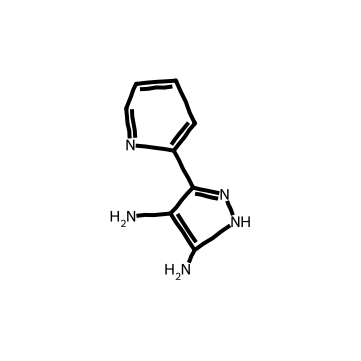 Nc1[nH]nc(-c2ccccn2)c1N